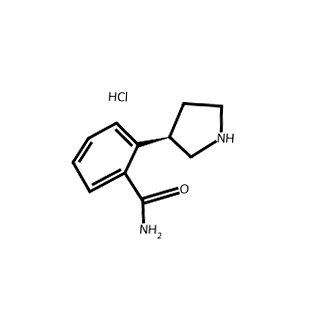 Cl.NC(=O)c1ccccc1[C@H]1CCNC1